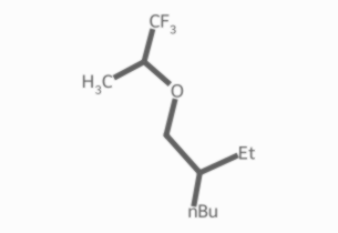 CCCCC(CC)COC(C)C(F)(F)F